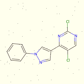 Clc1ncc(Cl)c(-c2cnn(-c3ccccc3)c2)n1